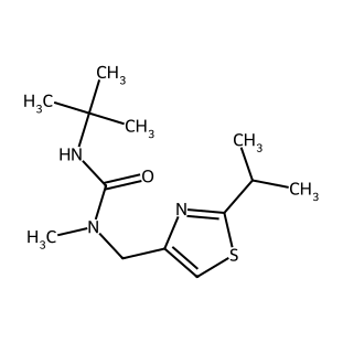 CC(C)c1nc(CN(C)C(=O)NC(C)(C)C)cs1